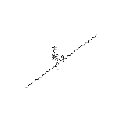 CCCCCCCCCCCCCCCCCCC(=O)O[C@H](COC(=O)CCCCCCCCCCCCCCCCC)COP(=O)([O-])OCC[N+](C)(C)C